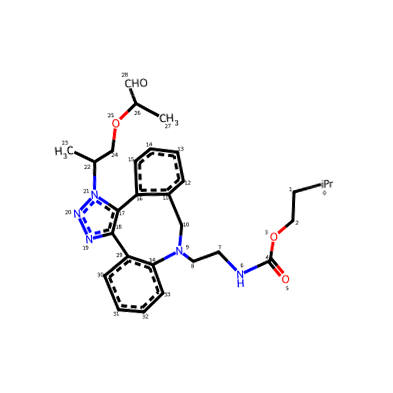 CC(C)CCOC(=O)NCCN1Cc2ccccc2-c2c(nnn2C(C)COC(C)C=O)-c2ccccc21